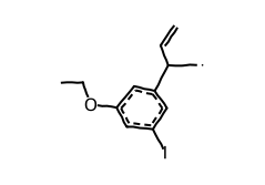 [CH2]C(C=C)c1cc(I)cc(OCC)c1